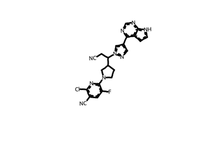 N#CCC(C1CCN(c2nc(Cl)c(C#N)cc2F)C1)n1cc(-c2ncnc3[nH]ccc23)cn1